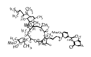 COc1ccc(C(=O)Nc2c(Cl)cncc2Cl)cc1OCCSC1C(=O)O[C@@]2(C)[C@H]1[C@@H](C)C(=O)[C@H](C)C[C@@](C)(OC)[C@H](O[C@@H]1O[C@H](C)C[C@H](N(C)C(=O)CN(C)C)[C@H]1O)[C@@H](C)[C@H](O[C@H]1C[C@@](C)(OC)[C@@H](O)[C@H](C)O1)[C@@H](C)C(=O)O[C@@H]2F